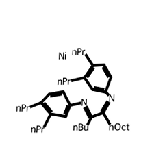 CCCCCCCCC(=Nc1ccc(CCC)c(CCC)c1)C(CCCC)=Nc1ccc(CCC)c(CCC)c1.[Ni]